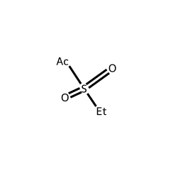 CCS(=O)(=O)C(C)=O